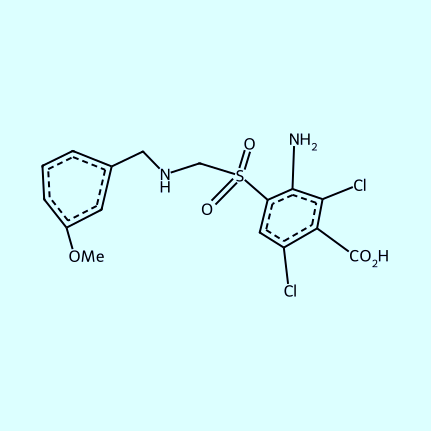 COc1cccc(CNCS(=O)(=O)c2cc(Cl)c(C(=O)O)c(Cl)c2N)c1